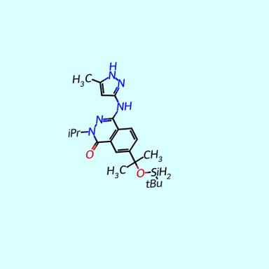 Cc1cc(Nc2nn(C(C)C)c(=O)c3cc(C(C)(C)O[SiH2]C(C)(C)C)ccc23)n[nH]1